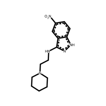 O=[N+]([O-])c1ccc2[nH]nc(NCCN3CCCCC3)c2c1